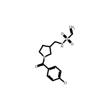 C=CS(=O)(=O)NCC1CCN(C(=O)c2ccc(Cl)cc2)C1